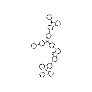 c1ccc(-c2ccc(N(c3ccc(-c4ccc5c(c4)c4ccccc4n5-c4ccccc4)cc3)c3ccc(-c4cccc5c4oc4cc(-c6ccc(C7(c8ccccc8)c8ccccc8-c8ccccc87)cc6)ccc45)cc3)cc2)cc1